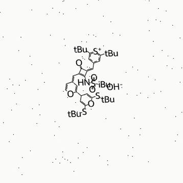 CCC(C)S(=O)(=O)NC1=C(C=C2C=COC(C3C=C(SC(C)(C)C)OC(SC(C)(C)C)=C3)=C2)C(=O)C1=Cc1cc(C(C)(C)C)[s+]c(C(C)(C)C)c1.[OH-]